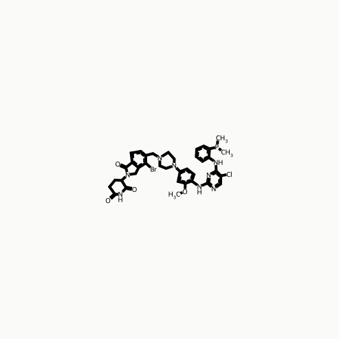 COc1cc(N2CCN(Cc3ccc4c(c3Br)CN(C3CCC(=O)NC3=O)C4=O)CC2)ccc1Nc1ncc(Cl)c(Nc2ccccc2P(C)C)n1